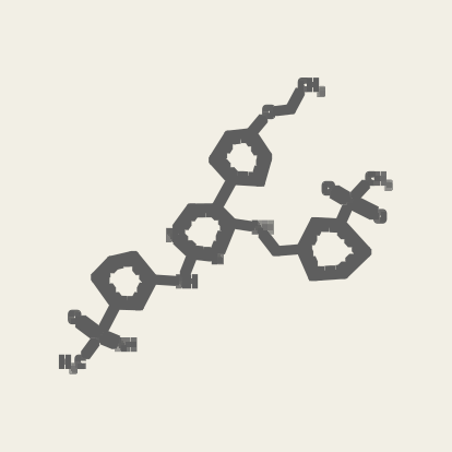 CCOc1ccc(-c2cnc(Nc3cccc(S(C)(=N)=O)c3)nc2NCc2cccc(S(C)(=O)=O)c2)cc1